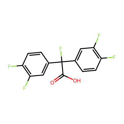 O=C(O)C(F)(c1ccc(F)c(F)c1)c1ccc(F)c(F)c1